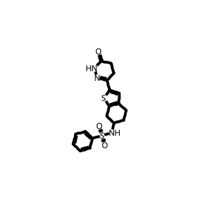 O=C1CCC(c2cc3c(s2)CC(NS(=O)(=O)c2ccccc2)CC3)=NN1